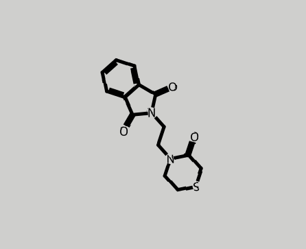 O=C1CSCCN1CCN1C(=O)c2ccccc2C1=O